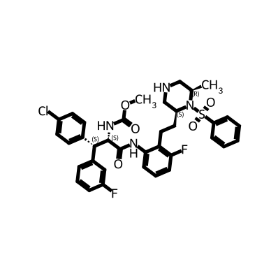 COC(=O)N[C@H](C(=O)Nc1cccc(F)c1CC[C@H]1CNC[C@@H](C)N1S(=O)(=O)c1ccccc1)[C@@H](c1ccc(Cl)cc1)c1cccc(F)c1